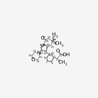 CC(C(=O)O)c1cccc(-c2c(N3CCOCC3)sc3c2CC(C)(C)CC3=O)c1